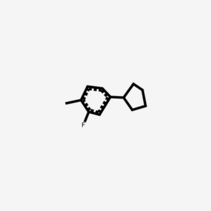 Cc1ccc(C2CCCC2)cc1F